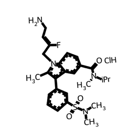 Cc1c(-c2cccc(S(=O)(=O)N(C)C)c2)c2cc(C(=O)N(C)C(C)C)ccc2n1CC(F)=CCN.Cl